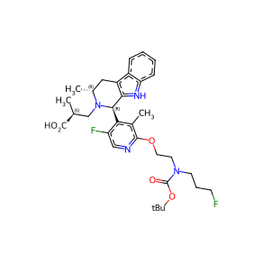 Cc1c(OCCN(CCCF)C(=O)OC(C)(C)C)ncc(F)c1[C@@H]1c2[nH]c3ccccc3c2C[C@@H](C)N1C[C@H](C)C(=O)O